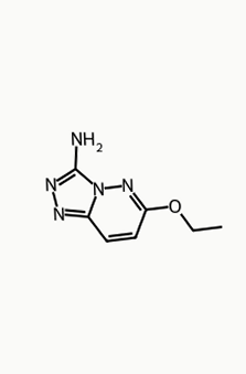 CCOc1ccc2nnc(N)n2n1